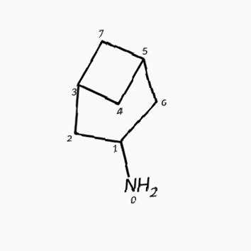 NC1CC2CC(C1)C2